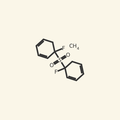 C.O=S(=O)(C1(F)C=CC=CC1)C1(F)C=CC=CC1